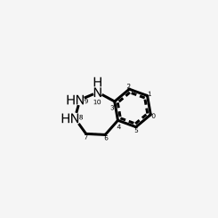 c1ccc2c(c1)CCNNN2